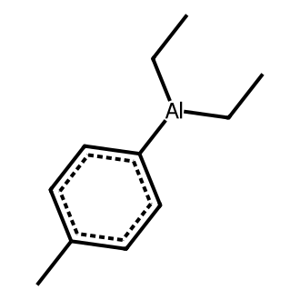 C[CH2][Al]([CH2]C)[c]1ccc(C)cc1